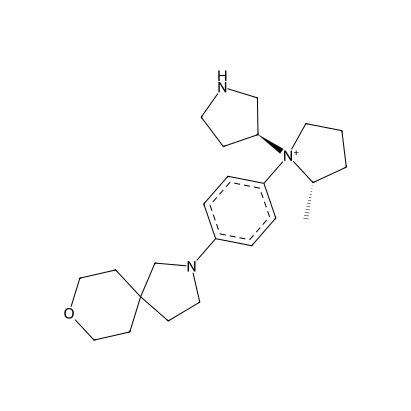 C[C@H]1CCC[N+]1(c1ccc(N2CCC3(CCOCC3)C2)cc1)[C@H]1CCNC1